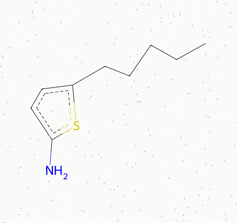 CCCCCc1ccc(N)s1